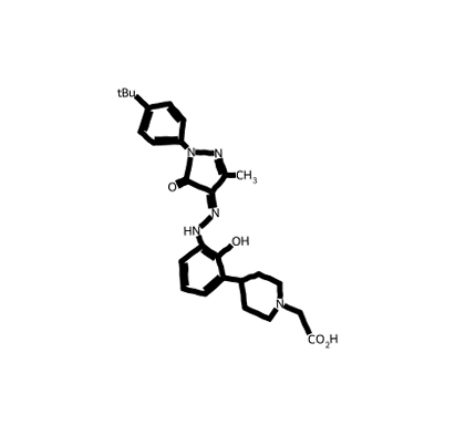 CC1=NN(c2ccc(C(C)(C)C)cc2)C(=O)/C1=N\Nc1cccc(C2CCN(CC(=O)O)CC2)c1O